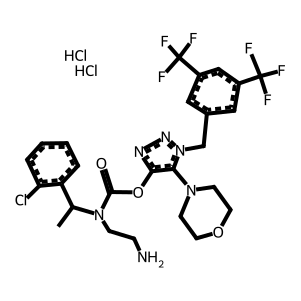 CC(c1ccccc1Cl)N(CCN)C(=O)Oc1nnn(Cc2cc(C(F)(F)F)cc(C(F)(F)F)c2)c1N1CCOCC1.Cl.Cl